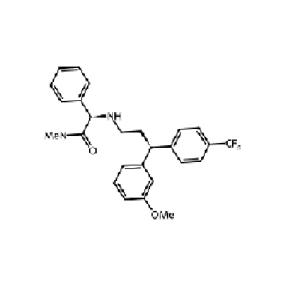 CNC(=O)[C@H](NCC[C@@H](c1ccc(C(F)(F)F)cc1)c1cccc(OC)c1)c1ccccc1